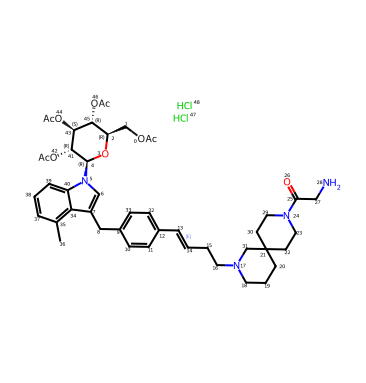 CC(=O)OC[C@H]1O[C@@H](n2cc(Cc3ccc(/C=C/CCN4CCCC5(CCN(C(=O)CN)CC5)C4)cc3)c3c(C)cccc32)[C@H](OC(C)=O)[C@@H](OC(C)=O)[C@@H]1OC(C)=O.Cl.Cl